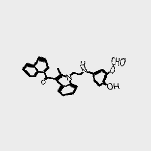 Cc1c(C(=O)c2cccc3ccccc23)c2ccccc2n1CCNc1ccc(O)c(OC=O)c1